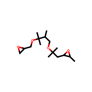 CC1OC1CC(C)(C)OCC(C)C(C)(C)OCC1CO1